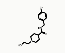 N#Cc1ccc(CNC(=O)C2CCN(CCO)CC2)cc1